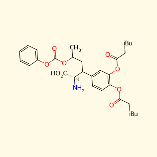 CCC(C)CC(=O)Oc1ccc(C(CC(C)OC(=O)Oc2ccccc2)[C@H](N)C(=O)O)cc1OC(=O)CC(C)CC